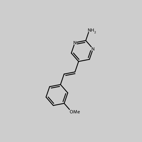 COc1cccc(C=Cc2cnc(N)nc2)c1